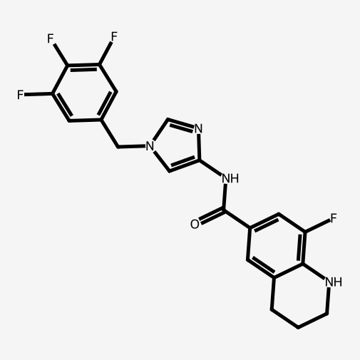 O=C(Nc1cn(Cc2cc(F)c(F)c(F)c2)cn1)c1cc(F)c2c(c1)CCCN2